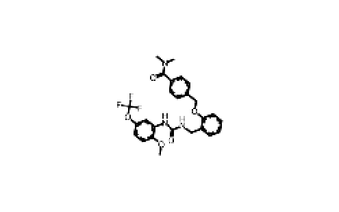 COc1ccc(OC(F)(F)F)cc1NC(=O)NCc1ccccc1OCc1ccc(C(=O)N(C)C)cc1